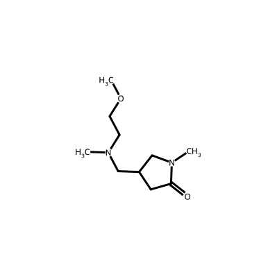 COCCN(C)CC1CC(=O)N(C)C1